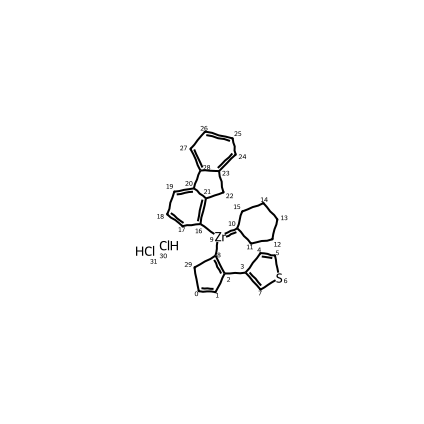 C1=CC(c2ccsc2)=[C]([Zr](=[C]2CCCCC2)[c]2cccc3c2Cc2ccccc2-3)C1.Cl.Cl